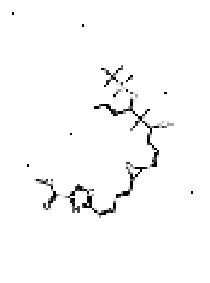 C/C=C/C(O[Si](C)(C)C(C)(C)C)C(C)(C)C(O)C/C=C\C1OC1/C=C/C=C\c1nc(C(=O)OC)co1